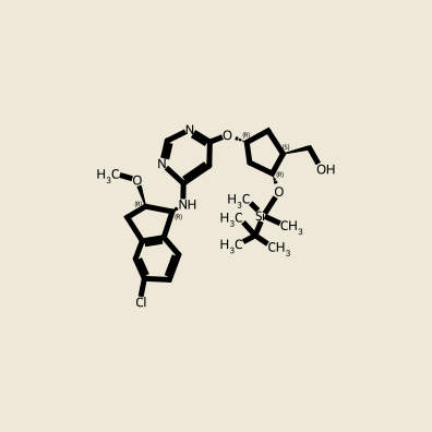 CO[C@@H]1Cc2cc(Cl)ccc2[C@H]1Nc1cc(O[C@@H]2C[C@@H](CO)[C@H](O[Si](C)(C)C(C)(C)C)C2)ncn1